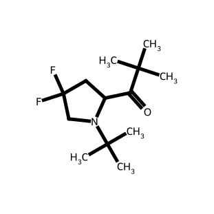 CC(C)(C)C(=O)C1CC(F)(F)CN1C(C)(C)C